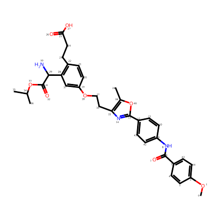 COc1ccc(C(=O)Nc2ccc(-c3nc(CCOc4ccc(CCC(=O)O)c(C(N)C(=O)OC(C)C)c4)c(C)o3)cc2)cc1